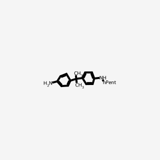 CCCCCNc1ccc(C(C)(C)c2ccc(N)cc2)cc1